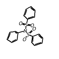 O=S(=O)(c1ccccc1)N(c1ccccc1)S(=O)(=O)c1ccccc1